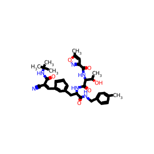 Cc1ccc(CNC(=O)C(Cc2cccc(C=C(C#N)C(=O)NC(C)(C)C)c2)NC(=O)C(NC(=O)c2cc(C)on2)C(C)O)cc1